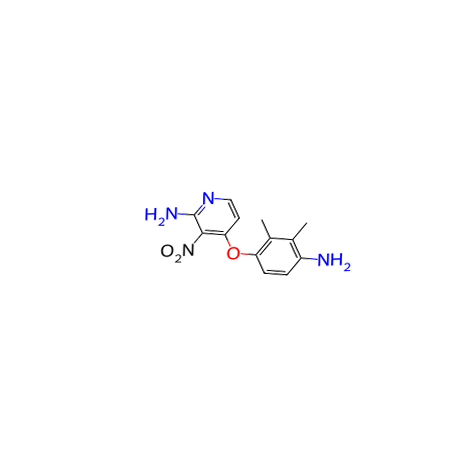 Cc1c(N)ccc(Oc2ccnc(N)c2[N+](=O)[O-])c1C